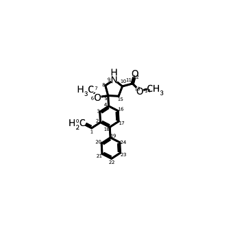 C=Cc1cc(C2(OC)CNC(C(=O)OC)C2)ccc1-c1ccccc1